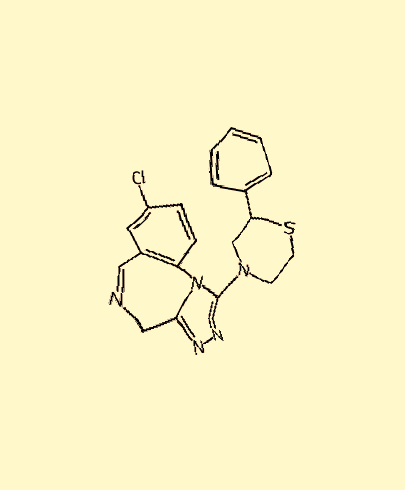 Clc1ccc2c(c1)C=NCc1nnc(N3CCSC(c4ccccc4)C3)n1-2